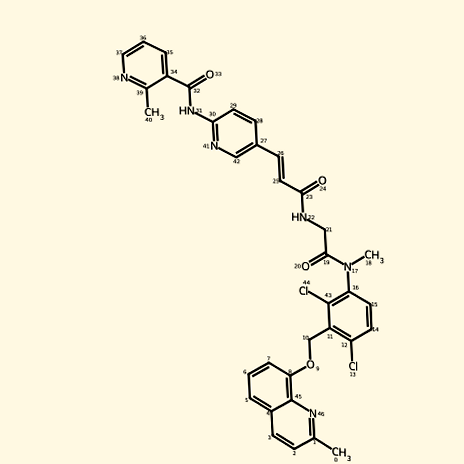 Cc1ccc2cccc(OCc3c(Cl)ccc(N(C)C(=O)CNC(=O)C=Cc4ccc(NC(=O)c5cccnc5C)nc4)c3Cl)c2n1